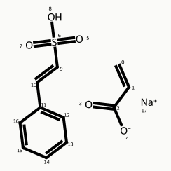 C=CC(=O)[O-].O=S(=O)(O)C=Cc1ccccc1.[Na+]